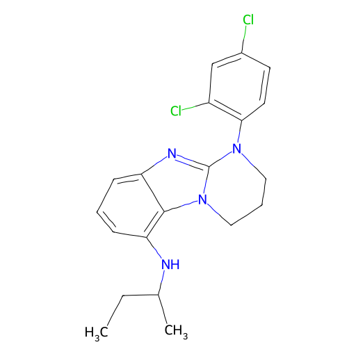 CCC(C)Nc1cccc2nc3n(c12)CCCN3c1ccc(Cl)cc1Cl